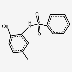 Cc1ccc(C(C)(C)C)c(NS(=O)(=O)c2ccccc2)c1